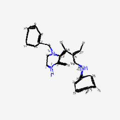 C=C1NCCN(Cc2ccccc2)/C1=C(C)/C(=C\C)CNc1ccccc1